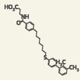 Cc1cccc(-c2ccc(SCCCCCCCc3ccc(C(=O)NCCC(=O)O)cc3)cc2)c1C